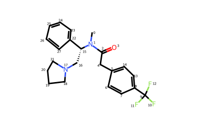 CN(C(=O)Cc1ccc(C(F)(F)F)cc1)[C@H](CN1CCCC1)c1ccccc1